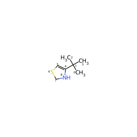 CC(C)(C)C1=CSCN1